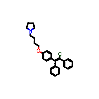 Cl/C(=C(/c1ccccc1)c1ccc(OCCCCN2CCCC2)cc1)c1ccccc1